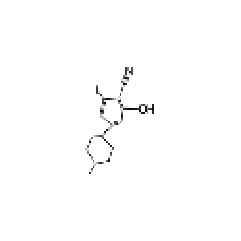 CC1CCC(c2cc(O)c(C#N)c(I)c2)CC1